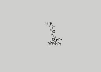 CCCC(CCC)(CCC)OCCOCCP